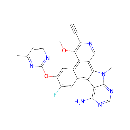 C#Cc1ncc2c(c1OC)c1cc(Oc3nccc(C)n3)c(F)cc1c1c3c(N)ncnc3n(C)c21